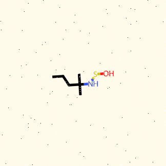 CCCC(C)(C)NSO